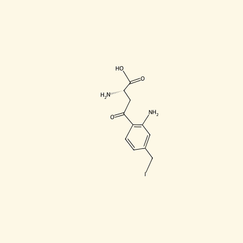 Nc1cc(CI)ccc1C(=O)C[C@H](N)C(=O)O